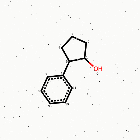 OC1CCCC1c1ccccc1